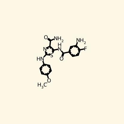 COc1ccc(Nc2nc(C(N)=O)c(NC(=O)c3ccc(F)c(N)c3)s2)cc1